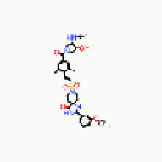 Cc1cc(C(=O)N2C[C@H](NC(C)C)[C@@H](O)C2)cc(C)c1/C=C/S(=O)(=O)N1CCC2(CC1)N=C(c1cccc(OC(F)(F)F)c1)NC2=O